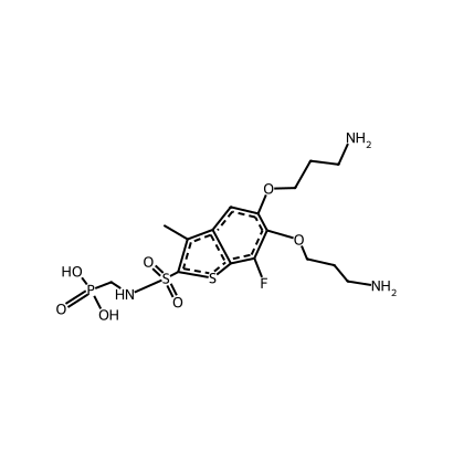 Cc1c(S(=O)(=O)NCP(=O)(O)O)sc2c(F)c(OCCCN)c(OCCCN)cc12